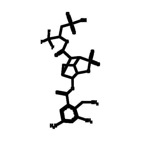 BCc1c(B)cc(B)cc1C(=O)OC1C2CC3C1OS(=O)(=O)C3C2C(=O)OC(CS(=O)(=O)O)C(F)(F)F